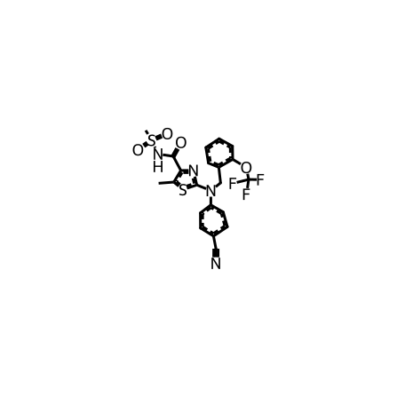 Cc1sc(N(Cc2ccccc2OC(F)(F)F)c2ccc(C#N)cc2)nc1C(=O)NS(C)(=O)=O